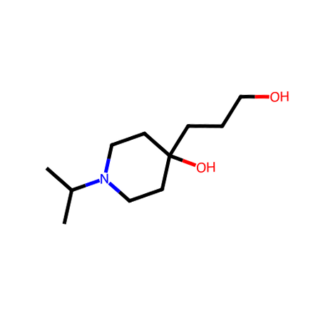 CC(C)N1CCC(O)(CCCO)CC1